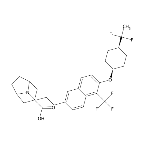 CC(F)(F)[C@H]1CC[C@@H](Oc2ccc3cc(CCCN4C5CCC4CC(C(=O)O)C5)ccc3c2C(F)(F)F)CC1